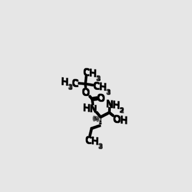 CCC[C@H](NC(=O)OC(C)(C)C)C(N)O